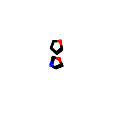 C1=COCC1.c1cocn1